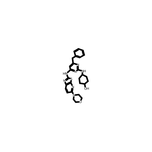 OC1CCC(Nc2nc(Cc3ccccc3)cc(Nc3nc4ccc(N5CCOCC5)nc4s3)n2)CC1